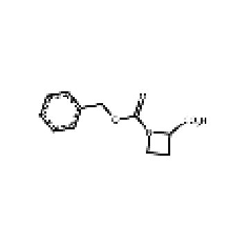 O=C(O)C1CCN1C(=O)OCc1ccccc1